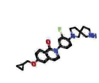 O=c1c2ccc(OCC3CC3)cc2ccn1-c1ccc(N2CCC3(CCNC3)C2)c(F)c1